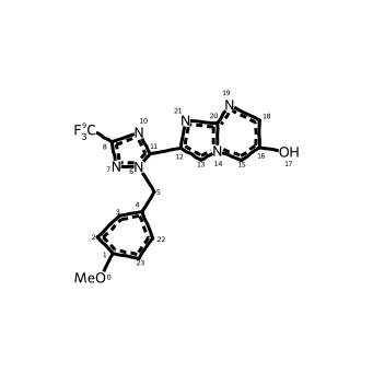 COc1ccc(Cn2nc(C(F)(F)F)nc2-c2cn3cc(O)cnc3n2)cc1